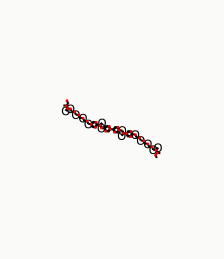 CCC(C)C(=O)OCCOCCOCCOc1ccc(C(=O)Oc2ccc(-c3ccc(OC(=O)c4ccc(OCCOCCOCCOC(=O)C(C)CC)cc4)cc3)cc2)cc1